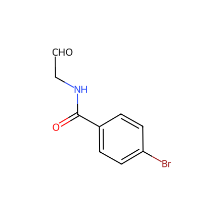 O=CCNC(=O)c1ccc(Br)cc1